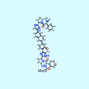 COC(=O)N[C@H](C(=O)N1CCC[C@H]1c1nc2c([nH]1)COc1cc(-c3ccc4cc(-c5cnc([C@@H]6CCCN6C(=O)[C@@H](c6ccccc6)N(C)C)[nH]5)ccc4c3)ccc1-2)C1CCOCC1